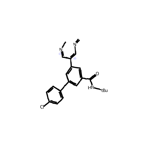 C=N/C=C(\C=N/C)c1cc(C(=O)NC(C)(C)C)cc(-c2ccc(Cl)cc2)c1